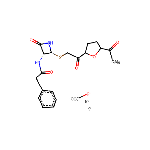 COC(=O)C1CCC(C(=O)CS[C@H]2NC(=O)[C@H]2NC(=O)Cc2ccccc2)O1.O=C([O-])[O-].[K+].[K+]